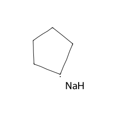 [CH]1CCCC1.[NaH]